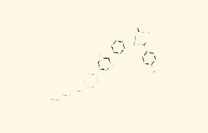 CCCCCCCN1CCN(c2cnc(-c3ccc(C[C@H](NC(=O)c4ccc(C(C)(C)C)cc4)C(=O)O)cc3)nc2)CC1